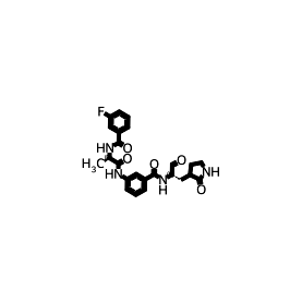 C[C@@H](NC(=O)c1cccc(F)c1)C(=O)Nc1cccc(C(=O)N[C@H](C=O)CC2CCNC2=O)c1